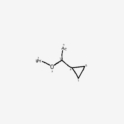 CC(=O)C(OC(C)C)C1CC1